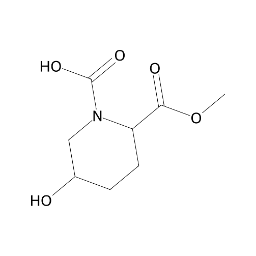 COC(=O)C1CCC(O)CN1C(=O)O